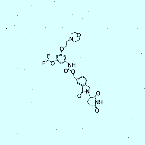 O=C1CCC(N2Cc3ccc(COC(=O)Nc4cc(OCCN5CCOCC5)cc(OC(F)F)c4)cc3C2=O)C(=O)N1